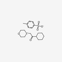 Cc1ccc(S(=O)(=O)[O-])cc1.O=C(C[S+]1CCOCC1)C1CCCCC1